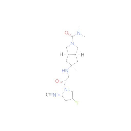 [C-]#[N+][C@@H]1C[C@H](F)CN1C(=O)CN[C@@]1(C)C[C@H]2CN(C(=O)N(C)C)C[C@H]2C1